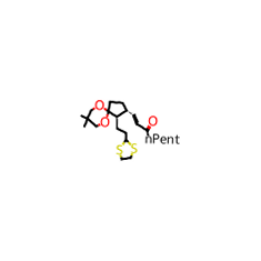 CCCCCC(=O)C=C[C@H]1CCC2(OCC(C)(C)CO2)[C@@H]1CCC1SCCS1